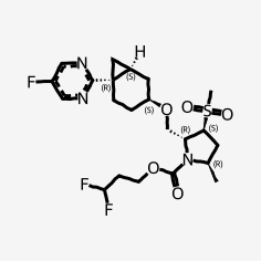 C[C@@H]1C[C@H](S(C)(=O)=O)[C@@H](CO[C@H]2CC[C@@]3(c4ncc(F)cn4)C[C@H]3C2)N1C(=O)OCCC(F)F